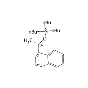 CCCC[Si](CCCC)(CCCC)O[C@@H](C)c1cccc2ccccc12